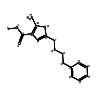 COC(=O)c1cc(CSCCc2ccccc2)sc1N